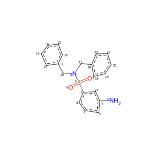 Nc1cccc(S(=O)(=O)N(Cc2ccccc2)Cc2ccccc2)c1